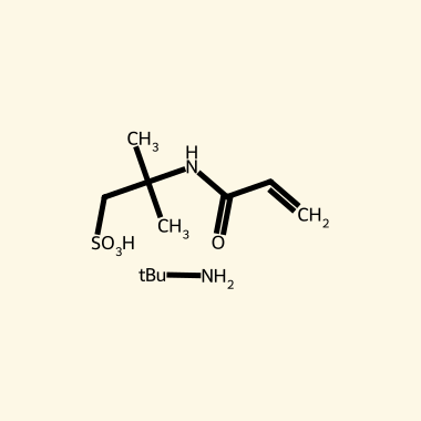 C=CC(=O)NC(C)(C)CS(=O)(=O)O.CC(C)(C)N